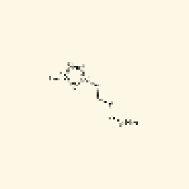 CCCCCCCCCCc1csc(C)c1